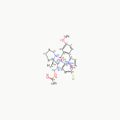 CC(C)Oc1ccc(-c2ccon2)c(C(=O)N2CCCC[C@@]2(C)c2nc3ncc(F)cc3n2COC(=O)C(C)C)c1